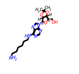 CC1(C)O[C@@H]2[C@H](O1)[C@@H](CO)O[C@H]2n1cnc2c(NCCCCCCN)ncnc21